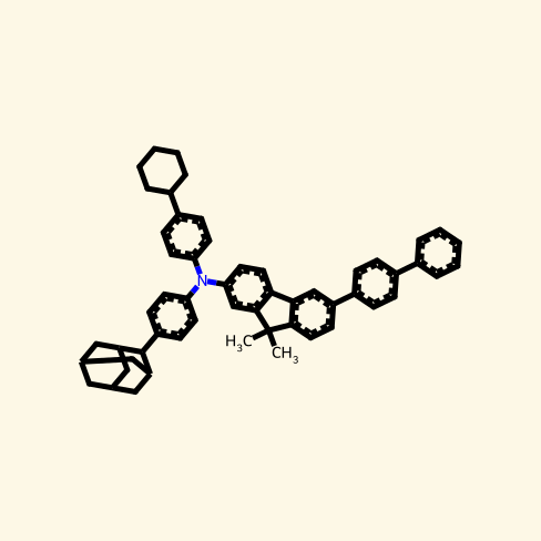 CC1(C)c2ccc(-c3ccc(-c4ccccc4)cc3)cc2-c2ccc(N(c3ccc(C4CCCCC4)cc3)c3ccc(C4C5CC6CC(C5)CC4C6)cc3)cc21